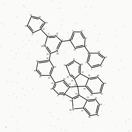 c1ccc(-c2cccc(-c3nc(-c4ccccc4)nc(-c4cccc(-c5ccc6c(c5)C5(c7ccccc7-c7ccccc75)c5c-6sc6ccccc56)c4)n3)c2)cc1